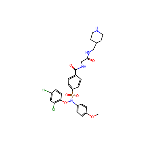 COc1ccc(N(Oc2ccc(Cl)cc2Cl)S(=O)(=O)c2ccc(C(=O)NCC(=O)NCC3CCNCC3)cc2)cc1